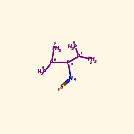 PP(P)P(N=S)P(P)P